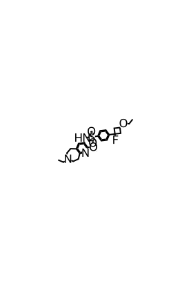 CCOC1CC(F)(c2ccc(S(=O)(=O)Nc3cc4c(nc3OC)CCN(CC)CC4)cc2)C1